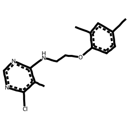 Cc1ccc(OCCNc2ncnc(Cl)c2C)c(C)c1